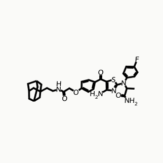 CC(C(N)=O)N(c1ccc(F)cc1)c1nc(N)c(C(=O)c2ccc(OCC(=O)NCCC34CC5CC(CC(C5)C3)C4)cc2)s1